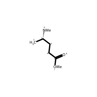 CN[C@@H](C)CCC(=O)OC